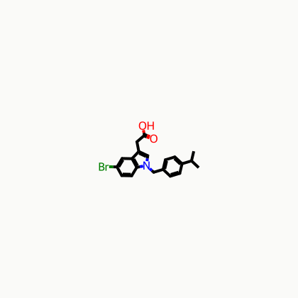 CC(C)c1ccc(Cn2cc(CC(=O)O)c3cc(Br)ccc32)cc1